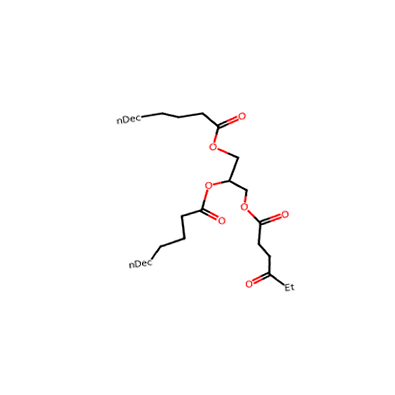 CCCCCCCCCCCCCC(=O)OCC(COC(=O)CCC(=O)CC)OC(=O)CCCCCCCCCCCCC